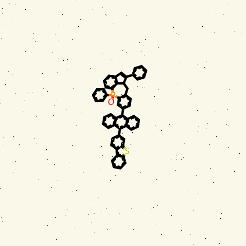 O=P1(c2ccccc2)c2cc(-c3c4ccccc4c(-c4ccc5c(c4)sc4ccccc45)c4ccccc34)ccc2CC2C(c3ccccc3)=Cc3cccc1c32